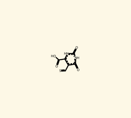 O=C(O)c1[nH]c(=O)[nH]c(=O)c1C=S